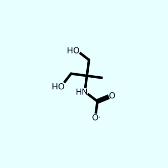 CC(CO)(CO)NC([O])=O